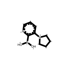 OB(O)c1ncccc1N1CCCC1